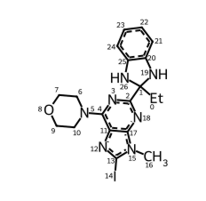 CCC1(c2nc(N3CCOCC3)c3nc(I)n(C)c3n2)Nc2ccccc2N1